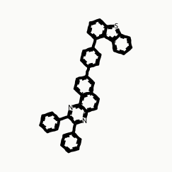 c1ccc(-c2nc3ccc4cc(-c5ccc(-c6cccc7sc8ccccc8c67)cc5)ccc4c3nc2-c2ccccc2)cc1